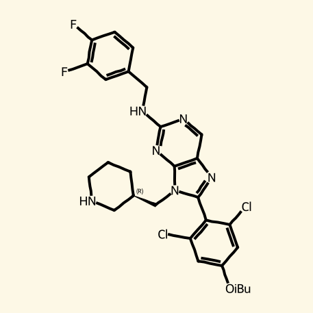 CC(C)COc1cc(Cl)c(-c2nc3cnc(NCc4ccc(F)c(F)c4)nc3n2C[C@@H]2CCCNC2)c(Cl)c1